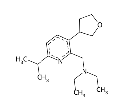 CCN(CC)Cc1nc(C(C)C)ccc1C1CCOC1